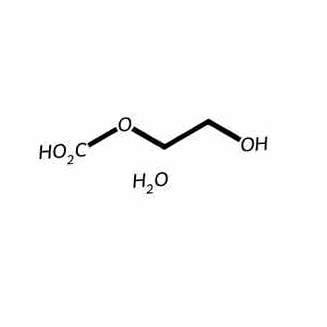 O.O=C(O)OCCO